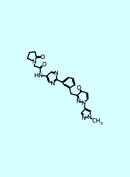 Cn1cc(-n2ccc(=O)c(Cc3cccc(-c4ncc(NC(=O)CN5CCCC5=O)cn4)c3)n2)cn1